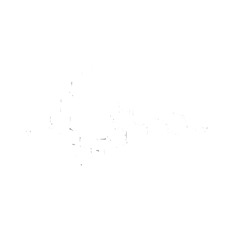 COc1ccc(CNc2nc(Cl)nc3c2ccn3[C@@H]2C[C@H](c3cc(CNC(=O)OC(C)(C)C)cc(OC)c3)[C@H]3OC(C)(C)O[C@H]32)cc1